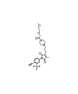 COCCOCC(=O)N1CCN(CCCC2=C(C)C(=O)N(c3ccc(C#N)c(C(F)(F)F)c3)C2=O)CC1